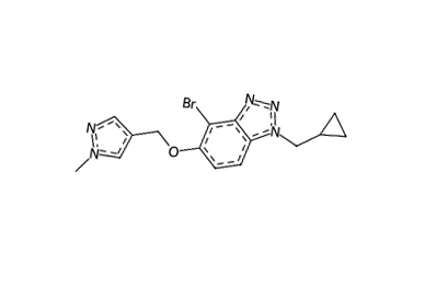 Cn1cc(COc2ccc3c(nnn3CC3CC3)c2Br)cn1